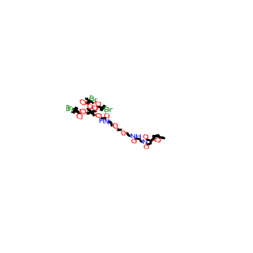 CC1C=CC(C2CC(=O)N(CCC(=O)NCCOCCOCCNC(=O)COCC(COC(=O)C(C)(C)Br)(COC(=O)C(C)(C)Br)COC(=O)C(C)(C)Br)C2=O)O1